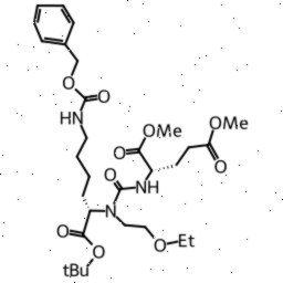 CCOCCN(C(=O)N[C@@H](CCC(=O)OC)C(=O)OC)[C@@H](CCCCNC(=O)OCc1ccccc1)C(=O)OC(C)(C)C